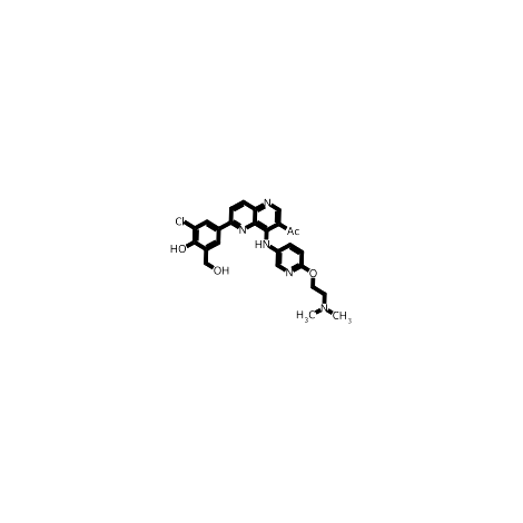 CC(=O)c1cnc2ccc(-c3cc(Cl)c(O)c(CO)c3)nc2c1Nc1ccc(OCCN(C)C)nc1